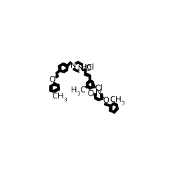 Cc1ccc(OCCc2ccc(CN3CCN(C(=O)/C=C/c4cc(C)c(Oc5ccc(OCc6ccccc6C)cn5)c(Cl)c4)CC3)cc2)cc1.Cl